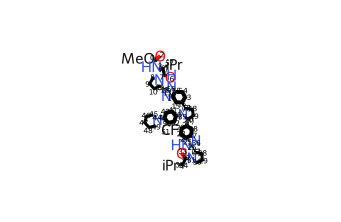 COC(=O)N[C@H](C(=O)N1CCC[C@H]1c1nc2cc([C@H]3CC[C@H](c4ccc5[nH]c([C@@H]6CCCN6C(=O)[CH]C(C)C)nc5c4)N3c3ccc(N4CCCCC4)c(C(F)(F)F)c3)ccc2[nH]1)C(C)C